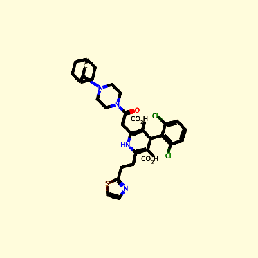 O=C(O)C1=C(CCc2nccs2)NC(CC(=O)N2CCN(C3CC4CCC3CC4)CC2)=C(C(=O)O)C1c1c(Cl)cccc1Cl